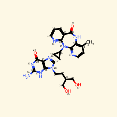 Cc1ccnc2c1NC(=O)c1cccnc1N2C1CC1.Nc1nc(=O)c2ncn(CCC(CO)CO)c2[nH]1